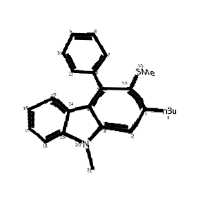 CCCCc1cc2c(c(-c3ccccc3)c1SC)c1ccccc1n2C